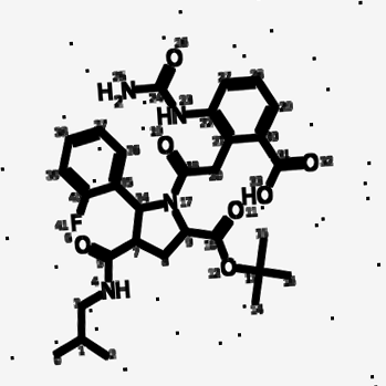 CC(C)CNC(=O)C1CC(C(=O)OC(C)(C)C)N(C(=O)Cc2c(NC(N)=O)cccc2C(=O)O)C1c1ccccc1F